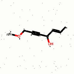 C/C=C/C(O)C#CCOCCC